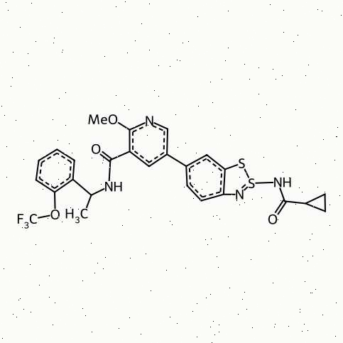 COc1ncc(-c2ccc3c(c2)SS(NC(=O)C2CC2)=N3)cc1C(=O)NC(C)c1ccccc1OC(F)(F)F